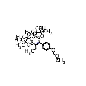 CC/C(B1OC(C)(C)C(C)(C)O1)=C(/B1OC(C)(C)C(C)(C)O1)c1ccc(OCOC)cc1